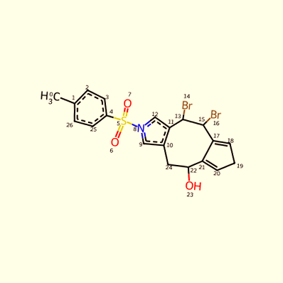 Cc1ccc(S(=O)(=O)n2cc3c(c2)C(Br)C(Br)C2=CCC=C2C(O)C3)cc1